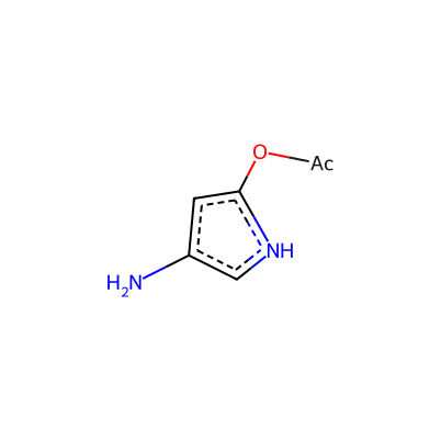 CC(=O)Oc1cc(N)c[nH]1